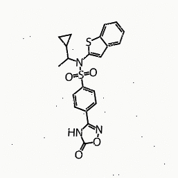 CC(C1CC1)N(c1cc2ccccc2s1)S(=O)(=O)c1ccc(-c2noc(=O)[nH]2)cc1